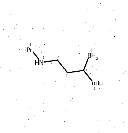 BC(CCCC)CCNC(C)C